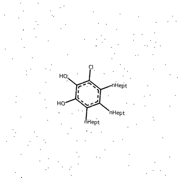 CCCCCCCc1c(O)c(O)c(Cl)c(CCCCCCC)c1CCCCCCC